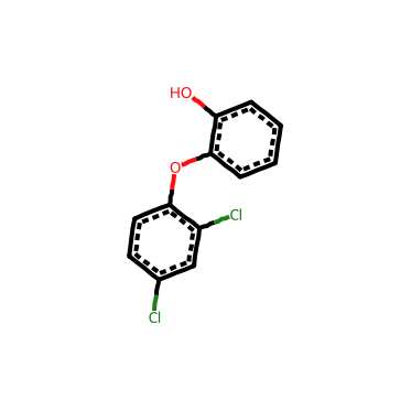 Oc1ccccc1Oc1ccc(Cl)cc1Cl